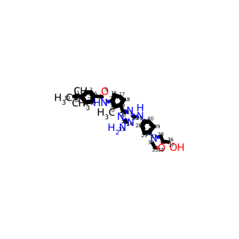 Cc1c(NC(=O)c2ccc(C(C)(C)C)cc2)cccc1-c1nc(N)nc(Nc2ccc(N3CCOC(CO)C3)cc2)n1